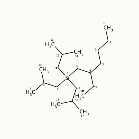 CCCCC([CH][Si](CC(C)C)(CC(C)C)CC(C)C)CC